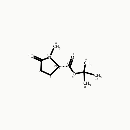 CN1C(=O)CC[C@H]1C(=O)OC(C)(C)C